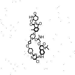 CNC(=O)COc1cc2cc(Nc3nc(N4CCC(OC5CC(N6CCN(c7ccc8c(c7C)C(=O)N([C@@H]7CCC(=O)NC7=O)C8=O)CC6)C5)CC4)ncc3Cl)ccc2n(C(C)C)c1=O